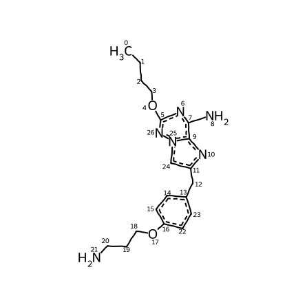 CCCCOc1nc(N)c2nc(Cc3ccc(OCCCN)cc3)cn2n1